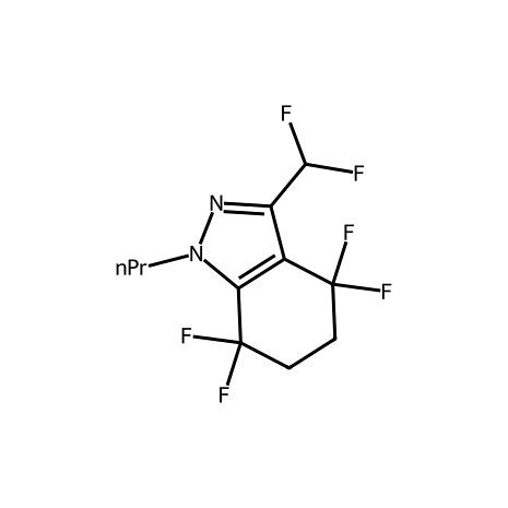 CCCn1nc(C(F)F)c2c1C(F)(F)CCC2(F)F